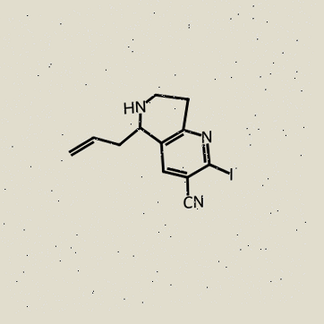 C=CCC1NCCc2nc(I)c(C#N)cc21